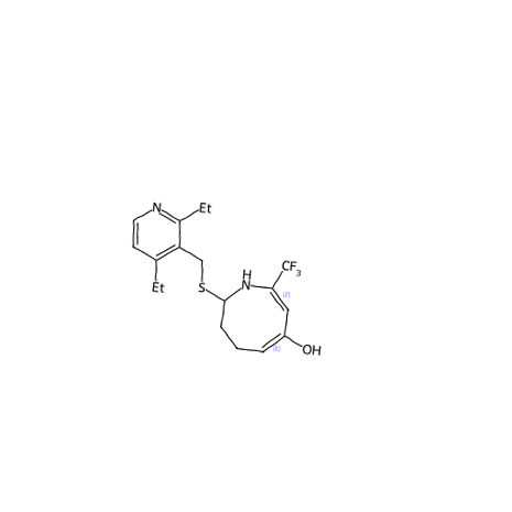 CCc1ccnc(CC)c1CSC1CC/C=C(O)\C=C(\C(F)(F)F)N1